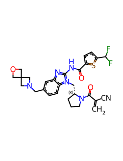 C=C(C#N)C(=O)N1CCC[C@@H]1Cn1c(NC(=O)c2ccc(C(F)F)s2)nc2cc(CN3CC4(COC4)C3)ccc21